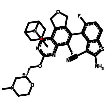 CN1CC2CC(C1)N2c1nc(OC[C@H]2CN(C)CCO2)nc2c(F)c(-c3c(F)ccc4sc(N)c(C#N)c34)c3c(c12)COC3